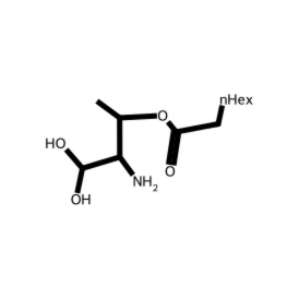 CCCCCCCC(=O)OC(C)C(N)C(O)O